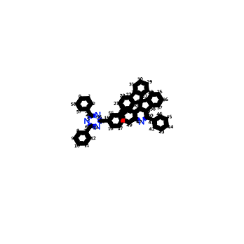 c1ccc(-c2nc(-c3ccccc3)nc(-c3cccc(-c4ccc5c(c4)C4(c6ccccc6-5)c5ccccc5-c5c(-c6ccccc6)nc6ccccc6c54)c3)n2)cc1